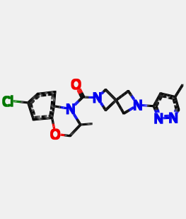 Cc1cnnc(N2CC3(CN(C(=O)N4c5ccc(Cl)cc5OCC4C)C3)C2)c1